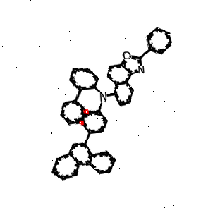 c1ccc(-c2nc3c(ccc4c(N(c5ccc(-c6cc7ccccc7c7ccccc67)cc5)c5ccccc5-c5ccccc5)cccc43)o2)cc1